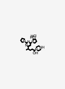 CC(CCC(O)N1CCNCC1)c1cc(N2CCCC2)nc(N2CCCC2)n1.Cl.Cl